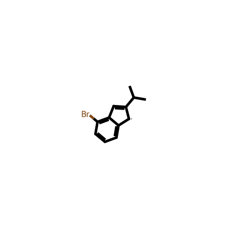 CC(C)C1=Cc2c(Br)cccc2[CH]1